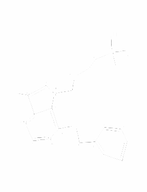 C[Si](C)(C)CCOCn1cc(I)c2ncnc(OCc3ccccc3)c21